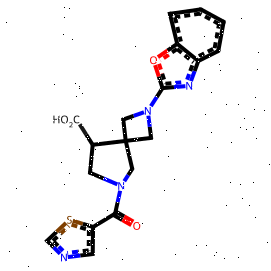 O=C(O)C1CN(C(=O)c2cncs2)CC12CN(c1nc3ccccc3o1)C2